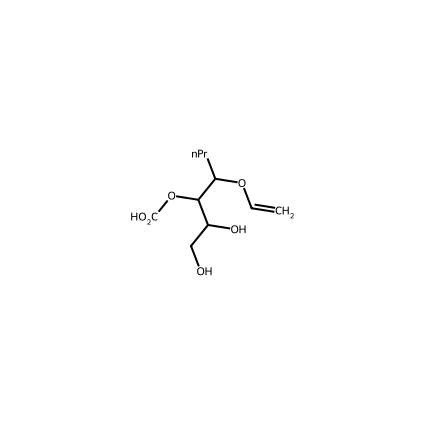 C=COC(CCC)C(OC(=O)O)C(O)CO